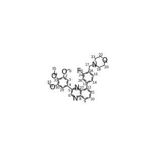 COc1cc(-c2cnc3cccc(-c4ccc(CN5CCOCC5)c(F)c4)c3n2)cc(OC)c1OC